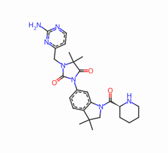 CC1(C)CN(C(=O)[C@@H]2CCCCN2)c2cc(N3C(=O)N(Cc4ccnc(N)n4)C(C)(C)C3=O)ccc21